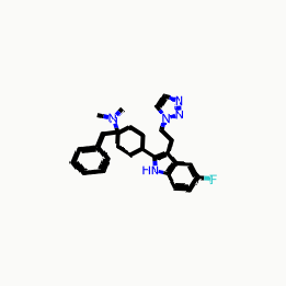 CN(C)C1(Cc2ccccc2)CCC(c2[nH]c3ccc(F)cc3c2CCn2ccnn2)CC1